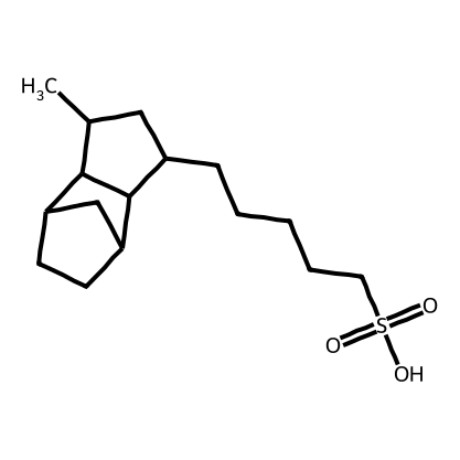 CC1CC(CCCCCS(=O)(=O)O)C2C3CCC(C3)C12